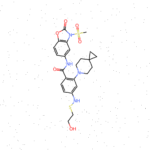 CS(=O)(=O)n1c(=O)oc2ccc(NC(=O)c3ccc(NSCCO)cc3N3CCC4(CC3)CC4)cc21